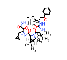 CC(C)[C@@H](CC(=O)c1ccccc1)NC(=O)N[C@H](C(=O)N1C[C@H]2[C@@H]([C@H]1C(=O)NC(CC1CC1)C(=O)C(N)=O)C2(C)C)C(C)(C)C